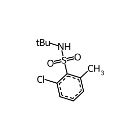 Cc1cccc(Cl)c1S(=O)(=O)NC(C)(C)C